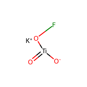 [K+].[O]=[Ti]([O-])[O]F